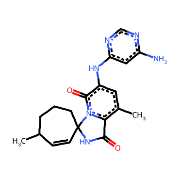 Cc1cc(Nc2cc(N)ncn2)c(=O)n2c1C(=O)NC21C=CC(C)CCC1